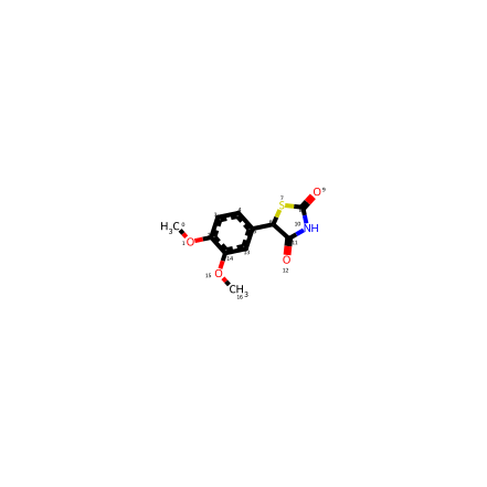 COc1ccc(C2SC(=O)NC2=O)cc1OC